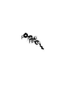 CCCCCN1CCC(NC(=O)c2ccc(-c3cccc(F)c3)nc2)CC1